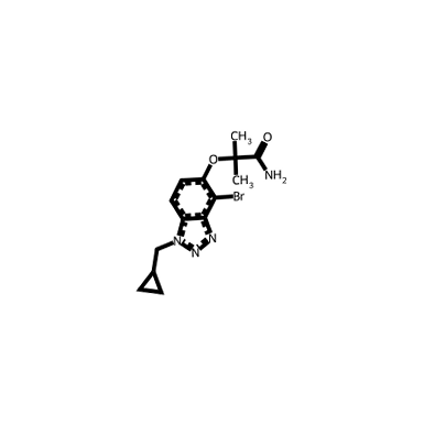 CC(C)(Oc1ccc2c(nnn2CC2CC2)c1Br)C(N)=O